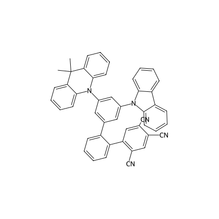 CC1(C)c2ccccc2N(c2cc(-c3ccccc3-c3cc(C#N)c(C#N)cc3C#N)cc(-n3c4ccccc4c4ccccc43)c2)c2ccccc21